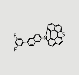 Fc1cc(F)cc(-c2ccc3cc(-n4c5ccc6ccc7sc8ccc9ccc4c4c9c8c7c6c45)ccc3c2)c1